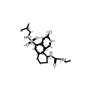 CCNC(=O)NC1CCCc2cc(S(=O)(=O)NCC(C)C)c3cc(Cl)ncc3c21